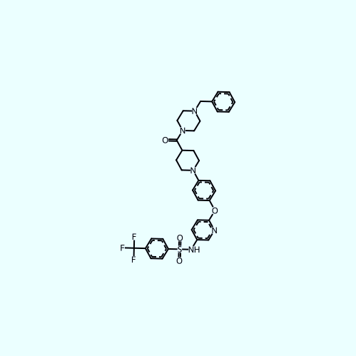 O=C(C1CCN(c2ccc(Oc3ccc(NS(=O)(=O)c4ccc(C(F)(F)F)cc4)cn3)cc2)CC1)N1CCN(Cc2ccccc2)CC1